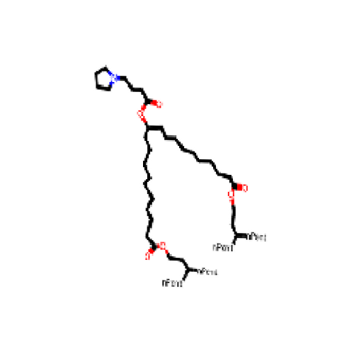 CCCCCC(CCCCC)CCOC(=O)CCCCCCCCCC(CCCCCCCCCC(=O)OCCC(CCCCC)CCCCC)OC(=O)CCCN1CCCC1